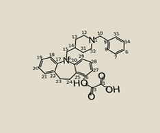 O=C(O)C(=O)O.c1ccc(CN2CCC(CN3c4ccccc4CCc4ccccc43)CC2)cc1